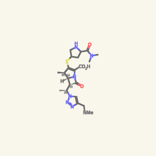 CNCc1cn([C@H](C)[C@H]2C(=O)N3C(C(=O)O)=C(SC4CNC(C(=O)N(C)C)C4)[C@H](C)[C@H]23)nn1